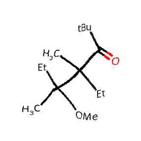 CCC(C)(OC)C(C)(CC)C(=O)C(C)(C)C